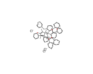 CC1=C(C)C(C)([Si](c2c(Cc3ccccc3)cccc2Cc2ccccc2)(c2c(Cc3ccccc3)cccc2Cc2ccccc2)c2c(Cc3ccccc3)cccc2Cc2ccccc2)[C]([Ti+3])=C1C.[Cl-].[Cl-].[Cl-]